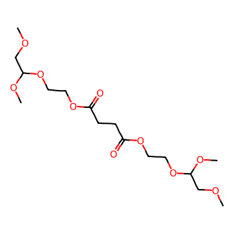 COCC(OC)OCCOC(=O)CCC(=O)OCCOC(COC)OC